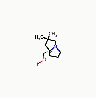 CC1(C)CN2CCC[C@@]2(COI)C1